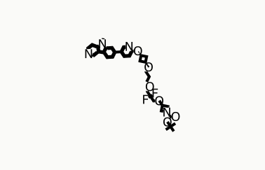 Cn1c2ccncc2c2ccc(-c3ccc(O[C@H]4C[C@H](OCCCOCC(F)(F)COC5CN(C(=O)OC(C)(C)C)C5)C4)nc3)cc21